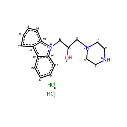 Cl.Cl.OC(CN1CCNCC1)Cn1c2ccccc2c2ccccc21